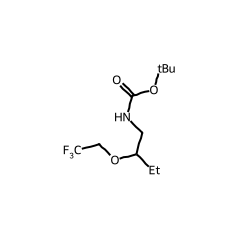 CCC(CNC(=O)OC(C)(C)C)OCC(F)(F)F